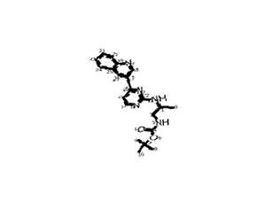 CC(CNC(=O)OC(C)(C)C)Nc1nccc(-c2cnc3ccccc3c2)n1